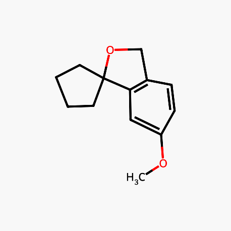 COc1ccc2c(c1)C1(CCCC1)OC2